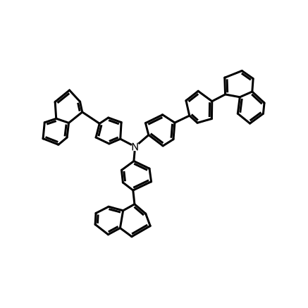 c1ccc2c(-c3ccc(-c4ccc(N(c5ccc(-c6cccc7ccccc67)cc5)c5ccc(-c6cccc7ccccc67)cc5)cc4)cc3)cccc2c1